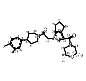 Cc1ccc(C2CCN(C(=O)Cn3nc(C(=O)N4C[C@@H](C)O[C@@H](C)C4)c4c3CCC4)CC2)cc1C